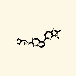 Cc1nc2ccc(-c3ccn4nc(NCC5COC5)ncc34)nc2n1C